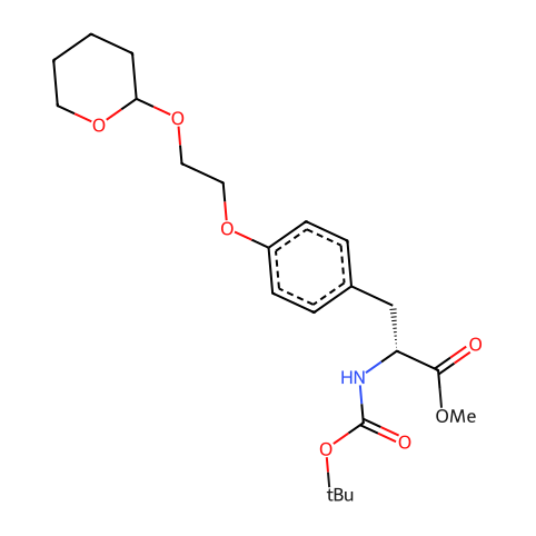 COC(=O)[C@@H](Cc1ccc(OCCOC2CCCCO2)cc1)NC(=O)OC(C)(C)C